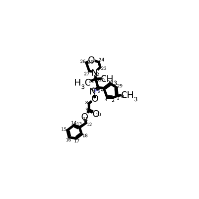 Cc1ccc(/C(=N\OCC(=O)OCc2ccccc2)C(C)(C)N2CCOCC2)cc1